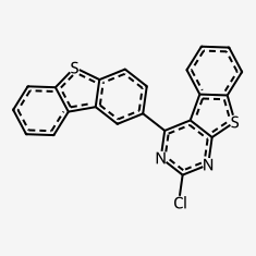 Clc1nc(-c2ccc3sc4ccccc4c3c2)c2c(n1)sc1ccccc12